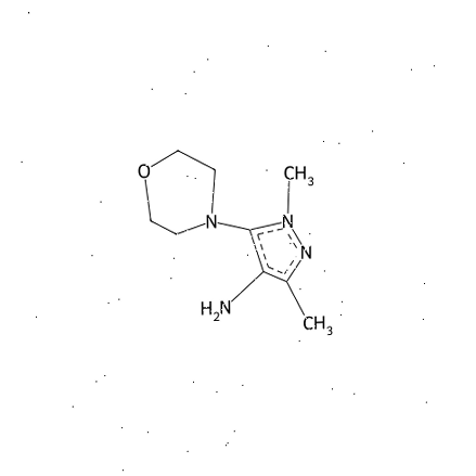 Cc1nn(C)c(N2CCOCC2)c1N